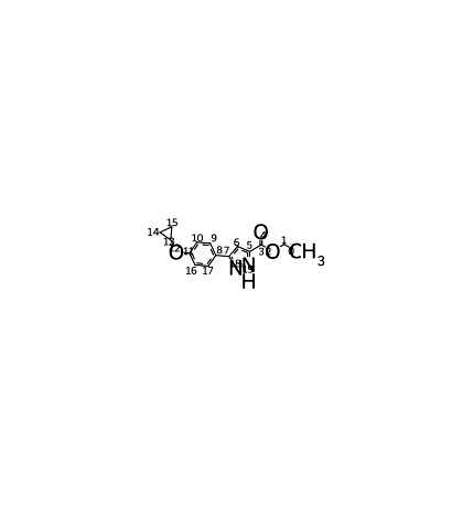 CCOC(=O)c1cc(-c2ccc(OC3CC3)cc2)n[nH]1